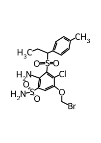 CCC(c1ccc(C)cc1)S(=O)(=O)c1c(N)c(S(N)(=O)=O)cc(OCBr)c1Cl